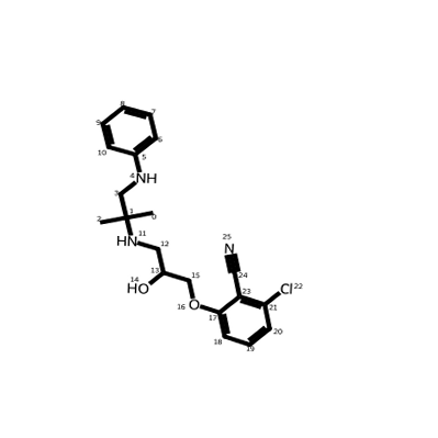 CC(C)(CNc1ccccc1)NCC(O)COc1cccc(Cl)c1C#N